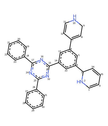 C1=CNC(c2cc(C3=CCNC=C3)cc(-c3nc(-c4ccccc4)nc(-c4ccccc4)n3)c2)C=C1